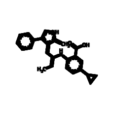 C=c1[nH]cc(-c2ccccc2)/c1=C/C(=C\C)Nc1ccc(C2CC2)cc1C(=O)O